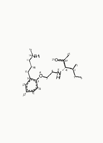 CCC(C)[C@H](NCCOc1ccccc1CCCNC)C(C)=O